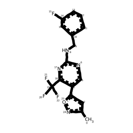 Cc1cc(-c2cnc(NCc3cccc(F)c3)nc2C(F)(F)F)on1